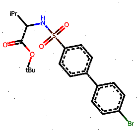 CC(C)C(NS(=O)(=O)c1ccc(-c2ccc(Br)cc2)cc1)C(=O)OC(C)(C)C